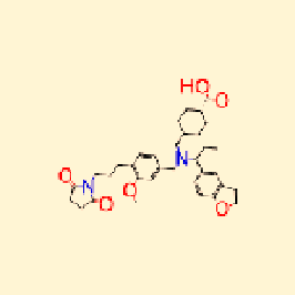 CCC(c1ccc2c(c1)CCO2)N(Cc1ccc(CCCN2C(=O)CCC2=O)c(OC)c1)C[C@H]1CC[C@H](C(=O)O)CC1